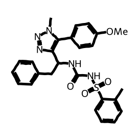 COc1ccc(-c2c(C(Cc3ccccc3)NC(=O)NS(=O)(=O)c3ccccc3C)nnn2C)cc1